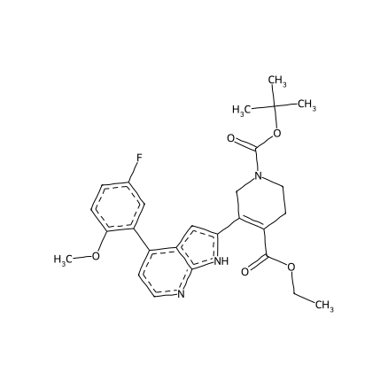 CCOC(=O)C1=C(c2cc3c(-c4cc(F)ccc4OC)ccnc3[nH]2)CN(C(=O)OC(C)(C)C)CC1